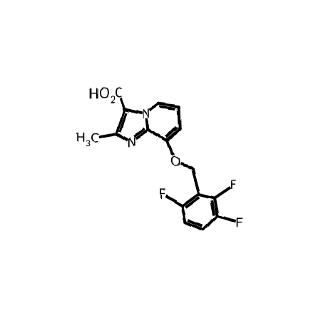 Cc1nc2c(OCc3c(F)ccc(F)c3F)cccn2c1C(=O)O